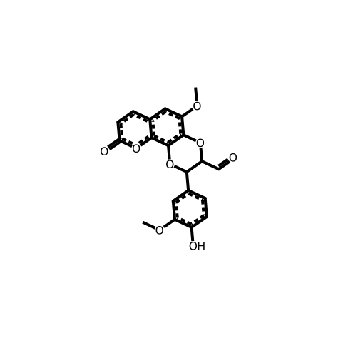 COc1cc(C2Oc3c(c(OC)cc4ccc(=O)oc34)OC2C=O)ccc1O